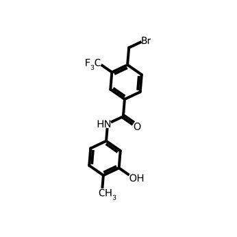 Cc1ccc(NC(=O)c2ccc(CBr)c(C(F)(F)F)c2)cc1O